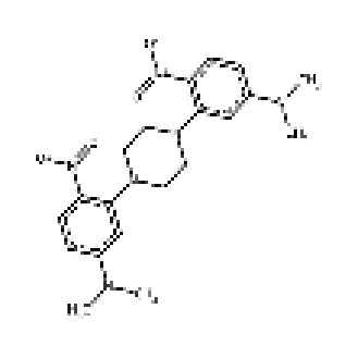 CN(C)c1ccc([N+](=O)[O-])c(N2CCN(c3cc(N(C)C)ccc3[N+](=O)[O-])CC2)c1